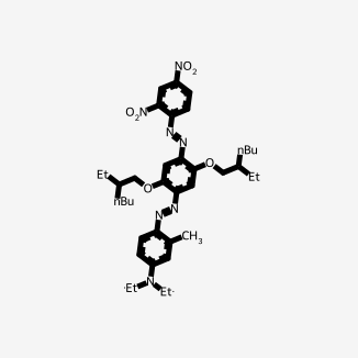 [CH2][CH]N([CH][CH2])c1ccc(/N=N/c2cc(OCC(CC)CCCC)c(/N=N/c3ccc([N+](=O)[O-])cc3[N+](=O)[O-])cc2OCC(CC)CCCC)c(C)c1